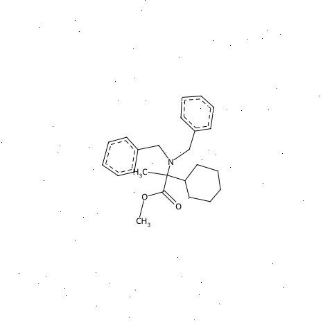 COC(=O)C(C)(C1CCCCC1)N(Cc1ccccc1)Cc1ccccc1